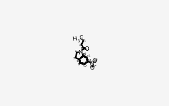 CCCC(=O)N1CCc2ccc([N+](=O)[O-])cc21